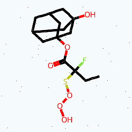 CCC(F)(SOOO)C(=O)OC12CC3CC(CC(O)(C3)C1)C2